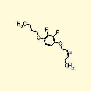 CC/C=C\COc1ccc(OCCCC)c(F)c1F